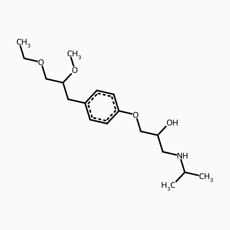 CCOCC(Cc1ccc(OCC(O)CNC(C)C)cc1)OC